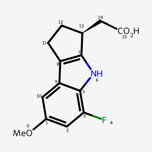 COc1cc(F)c2[nH]c3c(c2c1)CC[C@H]3CC(=O)O